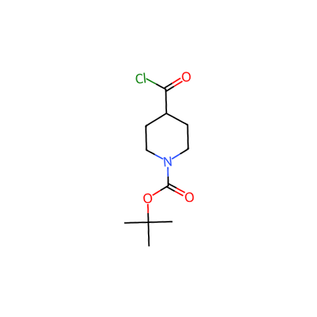 CC(C)(C)OC(=O)N1CCC(C(=O)Cl)CC1